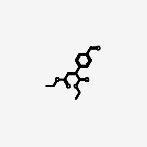 CCOC(=O)C=C(C(=O)OCC)c1ccc(C=O)cc1